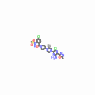 CC[C@H]1CN(c2nc(N)c(-c3nnc(C)o3)nc2Cl)CCN1C1CCN(C(=O)c2ccc(Cl)cc2NS(C)(=O)=O)CC1